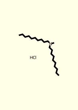 CCCCCCCCCCN(C)CCCCCCCCCC.Cl